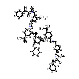 CCN(CC)c1ccc(/N=N/c2ncc(/C=C(\C(C)=O)C(=O)Nc3ccccc3)s2)c(Nc2nc(Nc3cc(N(CC)CC)ccc3/N=N/c3nc(S(=O)(=O)O)c(/C=C(/C(C)=O)C(=O)Nc4ccccc4)s3)nc(SC3CCCCC3)n2)c1